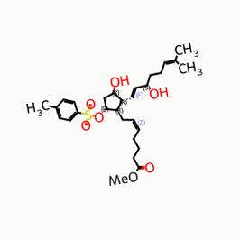 COC(=O)CCC/C=C\C[C@@H]1[C@@H](/C=C/[C@@H](O)CCC=C(C)C)[C@H](O)C[C@H]1OS(=O)(=O)c1ccc(C)cc1